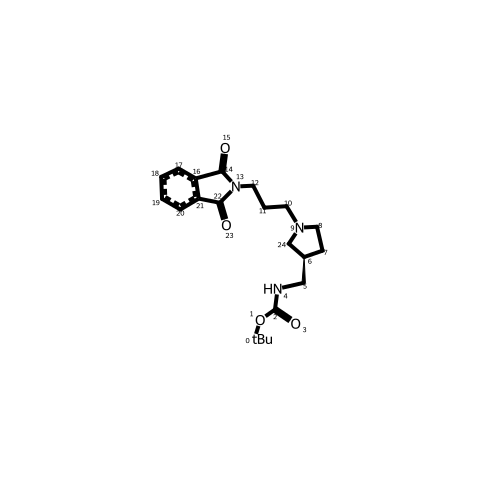 CC(C)(C)OC(=O)NC[C@@H]1CCN(CCCN2C(=O)c3ccccc3C2=O)C1